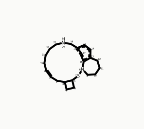 C1=CCC2CCC2SN2CCCCc3ccc(cc32)CNCCCC1